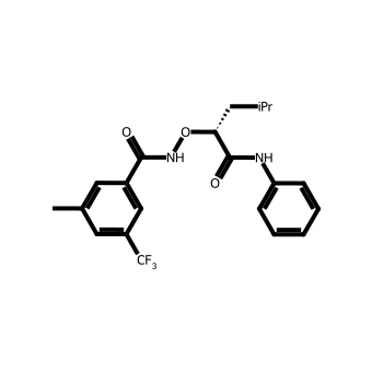 Cc1cc(C(=O)NO[C@H](CC(C)C)C(=O)Nc2ccccc2)cc(C(F)(F)F)c1